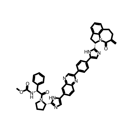 C=C1CCc2cccc3c2N(C1=O)[C@H](c1ncc(-c2ccc(-c4cnc5cc(-c6cnc([C@@H]7CCCN7C(=O)[C@H](NC(=O)OC)c7ccccc7)[nH]6)ccc5n4)cc2)[nH]1)C3